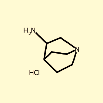 Cl.NC1CN2CCC1CC2